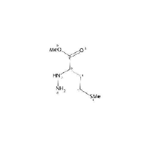 COC(=O)[C@H](CCSC)NN